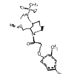 COCC1[C@@H](NS(C)(=O)=O)CCCN1C(=O)COc1ccc(O)cc1C